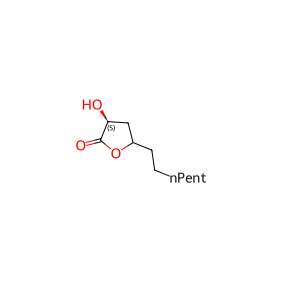 CCCCCCCC1C[C@H](O)C(=O)O1